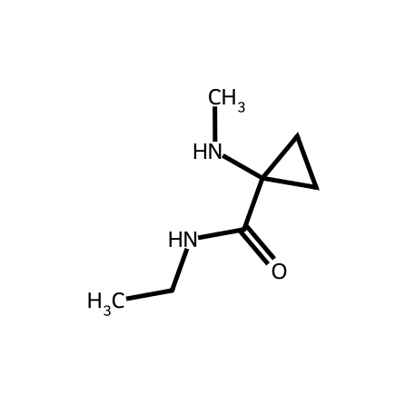 CCNC(=O)C1(NC)CC1